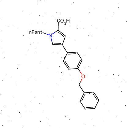 CCCCCn1cc(-c2ccc(OCc3ccccc3)cc2)cc1C(=O)O